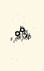 CCn1c(-c2nonc2N)nc2cncc(-c3cccc(OC(F)(F)F)c3)c21